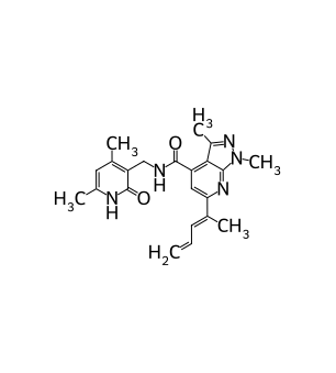 C=C/C=C(\C)c1cc(C(=O)NCc2c(C)cc(C)[nH]c2=O)c2c(C)nn(C)c2n1